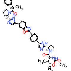 COC(=O)N[C@H](C(=O)N1CCC[C@H]1c1ncc(-c2ccc(-c3nc4ccc(-c5cnc([C@@H]6CCCN6C(=O)[C@H](C)c6ccccc6)[nH]5)cc4o3)cc2)[nH]1)C(C)C